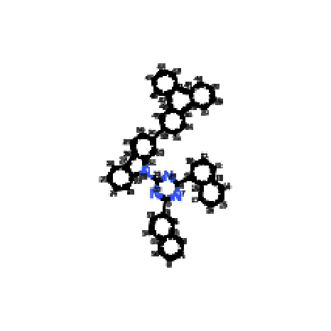 c1ccc2cc(-c3nc(-c4cccc5ccccc45)nc(-n4c5ccccc5c5ccc(-c6ccc7c8ccccc8c8ccccc8c7c6)cc54)n3)ccc2c1